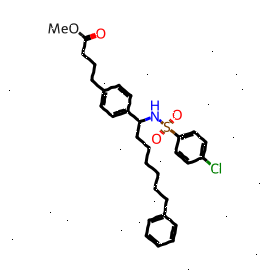 COC(=O)CCCc1ccc(C(CCCCCCc2ccccc2)NS(=O)(=O)c2ccc(Cl)cc2)cc1